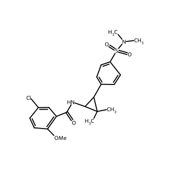 COc1ccc(Cl)cc1C(=O)NC1C(c2ccc(S(=O)(=O)N(C)C)cc2)C1(C)C